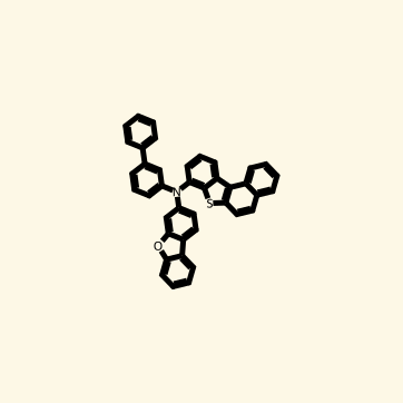 c1ccc(-c2cccc(N(c3ccc4c(c3)oc3ccccc34)c3cccc4c3sc3ccc5ccccc5c34)c2)cc1